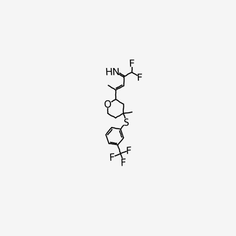 C/C(=C\C(=N)C(F)F)C1CC(C)(Sc2cccc(C(F)(F)F)c2)CCO1